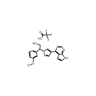 CCSc1cccc(C(CC#N)n2cc(-c3ncnc4[nH]ccc34)cn2)c1.O=C(O)C(F)(F)F